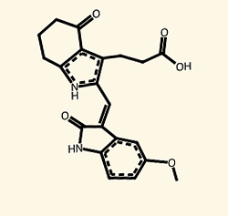 COc1ccc2c(c1)C(=Cc1[nH]c3c(c1CCC(=O)O)C(=O)CCC3)C(=O)N2